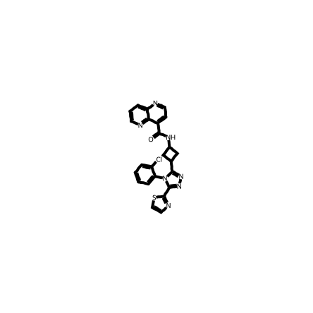 O=C(NC1CC(c2nnc(-c3nccs3)n2-c2ccccc2Cl)C1)c1ccnc2cccnc12